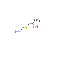 CC(O)CSCC[N]